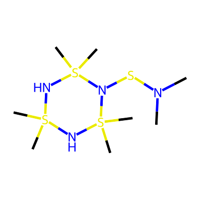 CN(C)SN1S(C)(C)NS(C)(C)NS1(C)C